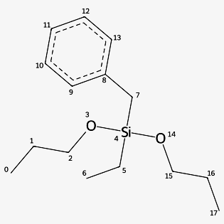 CCCO[Si](CC)(Cc1ccccc1)OCCC